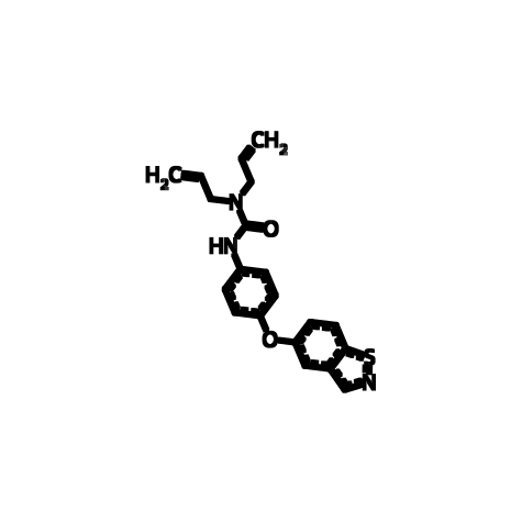 C=CCN(CC=C)C(=O)Nc1ccc(Oc2ccc3sncc3c2)cc1